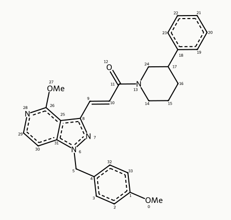 COc1ccc(Cn2nc(C=CC(=O)N3CCCC(c4ccccc4)C3)c3c(OC)nccc32)cc1